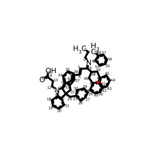 CCC\[N+](=C(/C=C/C=C/C=C1/N(CCC(=O)O)c2ccccc2C1(Cc1ccccc1)Cc1ccccc1)C(Cc1ccccc1)Cc1ccccc1)c1ccccc1C